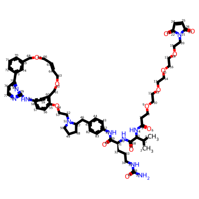 CC(C)C(NC(=O)CCOCCOCCOCCOCCN1C(=O)C=CC1=O)C(=O)N[C@@H](CCCNC(N)=O)C(=O)Nc1ccc(CC2CCCN2CCOc2ccc3cc2COC/C=C/COCc2cccc(c2)-c2ccnc(n2)N3)cc1